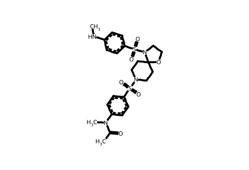 CNc1ccc(S(=O)(=O)N2CCOC23CCN(S(=O)(=O)c2ccc(N(C)C(C)=O)cc2)CC3)cc1